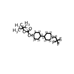 CC(C)(C)OC(=O)ON1CCC(C2CCN(CC(F)(F)F)CC2)CC1